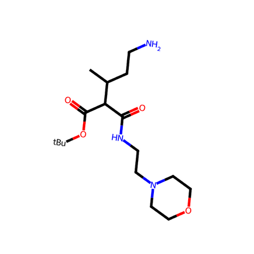 CC(CCN)C(C(=O)NCCN1CCOCC1)C(=O)OC(C)(C)C